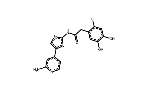 Nc1cc(-c2csc(NC(=O)Cc3cc(O)c(O)cc3Cl)n2)ccn1